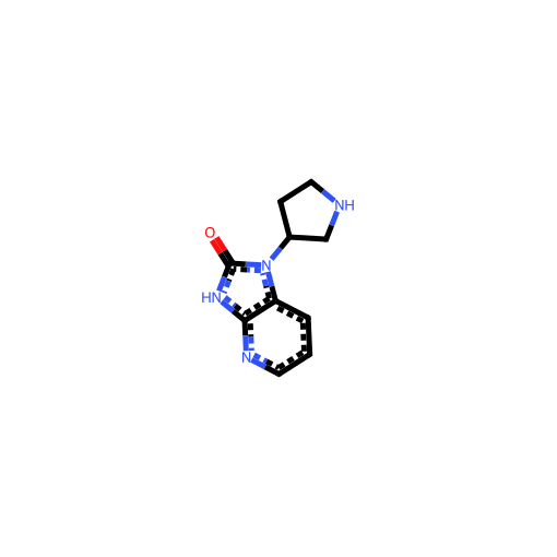 O=c1[nH]c2ncccc2n1C1CCNC1